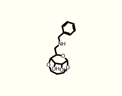 OC1C2OCCCOC(C(CNCc3ccccc3)O2)C1O